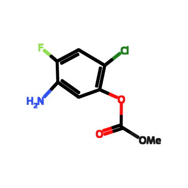 COC(=O)Oc1cc(N)c(F)cc1Cl